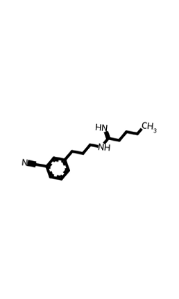 CCCCC(=N)NCCCc1cccc(C#N)c1